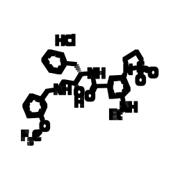 CCNc1cc(C(=O)N[C@@H](Cc2ccccc2)[C@H](O)CNCc2cccc(OC(F)(F)F)c2)cc(N2CCCS2(=O)=O)c1.Cl